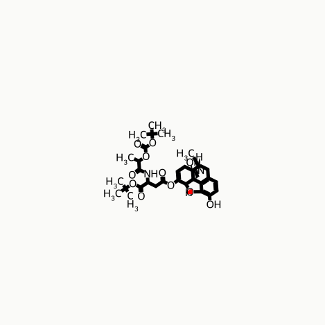 CC(OC(=O)OC(C)(C)C)C(=O)NC(CC(=O)OC1=CC[C@@]2(O)[C@H]3Cc4ccc(O)c5c4[C@@]2(CCN3C)[C@H]1O5)C(=O)OC(C)(C)C